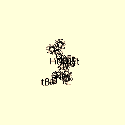 CCOC(CN(Cc1ccc2ccccc2c1)C(=O)C(CCCCNC(=O)OC(C)(C)C)NC(=O)OCC1c2ccccc2-c2ccccc21)OCC